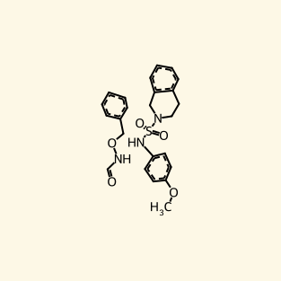 COc1ccc(NS(=O)(=O)N2CCc3ccccc3C2)cc1.O=CNOCc1ccccc1